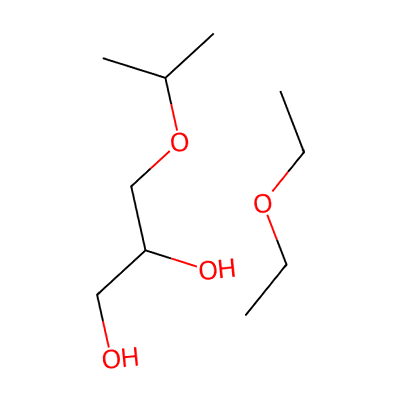 CC(C)OCC(O)CO.CCOCC